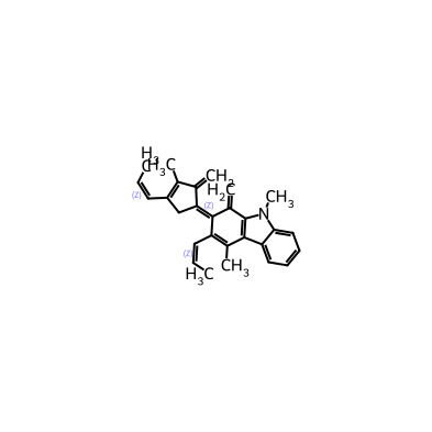 C=C1C(C)=C(/C=C\C)C/C1=c1\c(/C=C\C)c(C)c2c3ccccc3n(C)c2c1=C